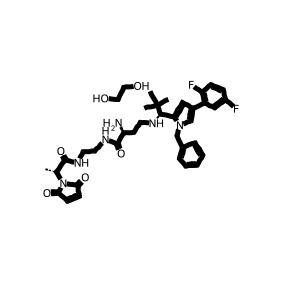 C[C@H](C(=O)NCCNC(=O)[C@@H](N)CCN[C@@H](c1cc(-c2cc(F)ccc2F)cn1Cc1ccccc1)C(C)(C)C)N1C(=O)C=CC1=O.OCCO